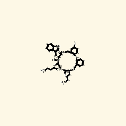 CCN1C(=O)[C@H](CCCCN)NC(=O)[C@H](CCCN)NCc2ccccc2Sc2ccc(Cl)cc2CNC(=O)[C@@H]1Cc1c[nH]c2ccccc12